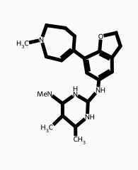 CNC1NC(Nc2cc3c(c(C4=CCN(C)CCC4)c2)OCC3)NC(C)C1C